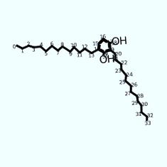 CCCCCCCCCCCCCCc1ccc(O)c(CCCCCCCCCCCCCC)c1O